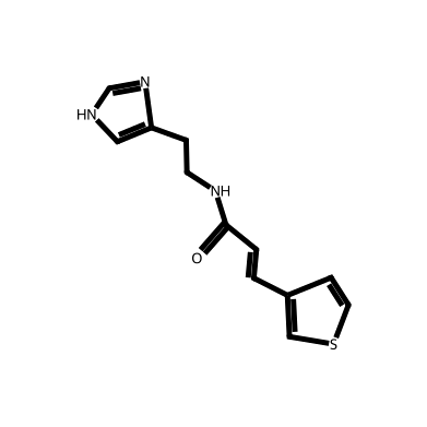 O=C(C=Cc1ccsc1)NCCc1c[nH]cn1